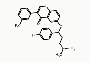 CN(C)CCC(Oc1ccc2occ(-c3cccc(C(F)(F)F)c3)c(=O)c2c1)c1ccc(F)cc1